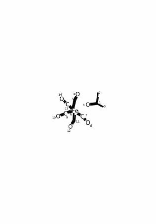 CC(C)=O.O=[C]=[Fe](=[C]=O)(=[C]=O)(=[C]=O)=[C]=O